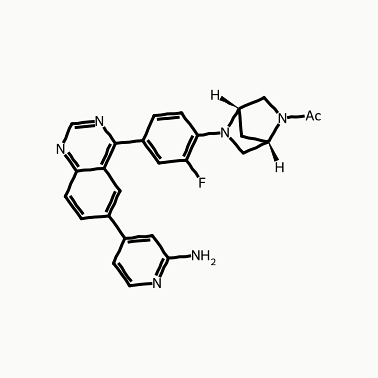 CC(=O)N1C[C@@H]2C[C@H]1CN2c1ccc(-c2ncnc3ccc(-c4ccnc(N)c4)cc23)cc1F